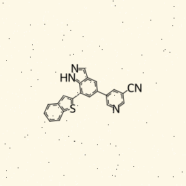 N#Cc1cncc(-c2cc(-c3cc4ccccc4s3)c3[nH]ncc3c2)c1